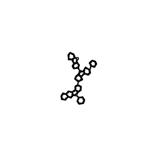 c1ccc(-c2ccc3c4cc(-c5ccc6c(c5)c5cc7ccccc7cc5n6-c5ccccc5)ccc4n(-c4ccc5c(c4)oc4ccccc45)c3c2)cc1